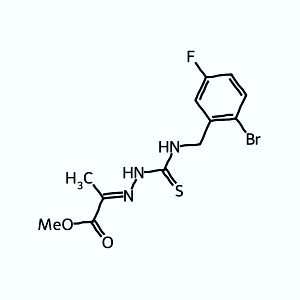 COC(=O)/C(C)=N/NC(=S)NCc1cc(F)ccc1Br